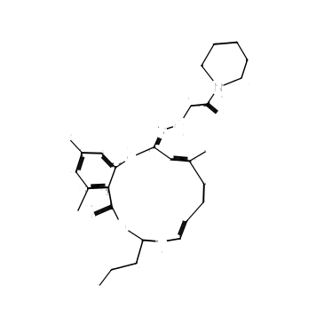 CCCC1C/C=C/CC/C(C)=C/C(=N\OCC(=O)N2CCCCC2)Cc2cc(C)cc(C)c2C(=O)O1